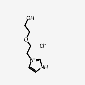 OCCOCC[n+]1cc[nH]c1.[Cl-]